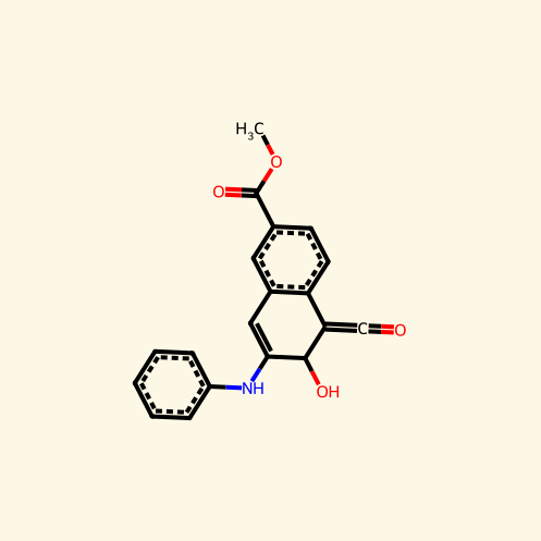 COC(=O)c1ccc2c(c1)C=C(Nc1ccccc1)C(O)C2=C=O